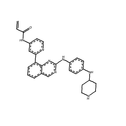 C=CC(=O)Nc1ccnc(-c2cccc3cnc(Nc4ccc(NC5CCNCC5)cc4)nc23)c1